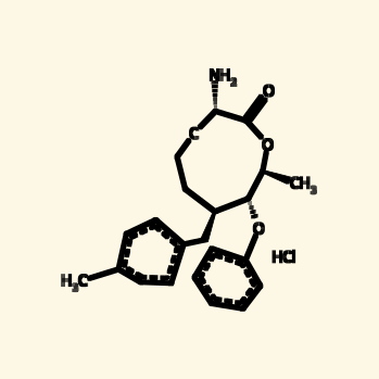 Cc1ccc(C[C@H]2CCC[C@H](N)C(=O)O[C@@H](C)[C@@H]2Oc2ccccc2)cc1.Cl